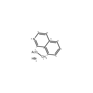 Br.COC(C)=O.c1ccc2cnccc2c1